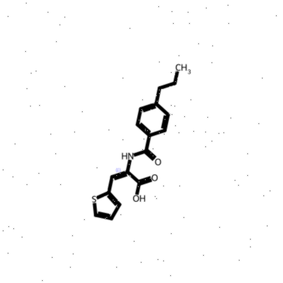 CCCc1ccc(C(=O)N/C(=C/c2cccs2)C(=O)O)cc1